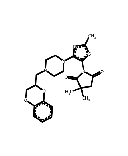 Cc1nc(N2CCN(CC3COc4ccccc4O3)CC2)c(N2C(=O)CC(C)(C)C2=O)s1